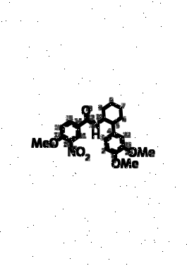 COc1ccc(C2CCCCC2NC(=O)c2ccc(OC)c([N+](=O)[O-])c2)cc1OC